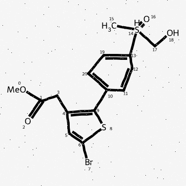 COC(=O)Cc1cc(Br)sc1-c1ccc([SH](C)(=O)CO)cc1